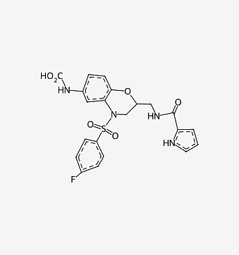 O=C(O)Nc1ccc2c(c1)N(S(=O)(=O)c1ccc(F)cc1)CC(CNC(=O)c1ccc[nH]1)O2